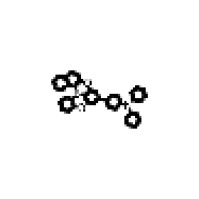 c1ccc(N(c2ccccc2)c2ccc(-c3cc4c5c(c3)Oc3ccc6ccccc6c3B5c3ccccc3O4)cc2)cc1